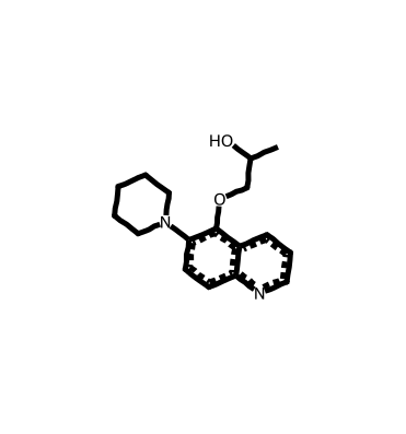 CC(O)COc1c(N2CCCCC2)ccc2ncccc12